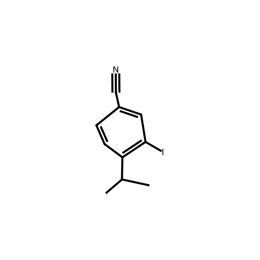 CC(C)c1ccc(C#N)cc1I